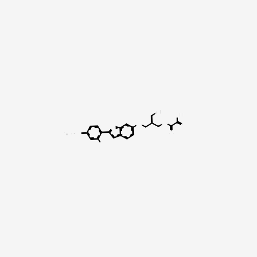 C=C(C)C(=O)OCC(COc1ccc2cc(-c3ccc(CCCCC)cc3CC)oc2c1)CC(F)(F)F